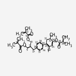 C=C(C)C(=O)OCC(COC(=O)C(=C)C)Cc1ccc(C2=C(F)C=C(OC(=O)C(=C)C)C(C)C2)cc1